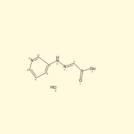 Cl.O=C(O)/C=N/Nc1cccnc1